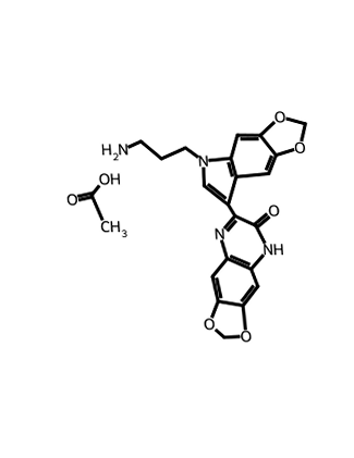 CC(=O)O.NCCCn1cc(-c2nc3cc4c(cc3[nH]c2=O)OCO4)c2cc3c(cc21)OCO3